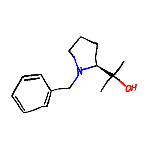 CC(C)(O)[C@@H]1CCCN1Cc1ccccc1